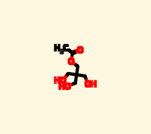 CC(=O)OCC(CO)(CO)CO